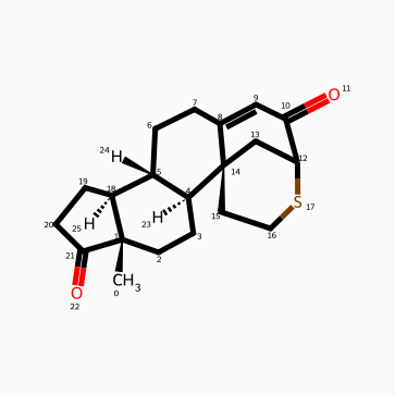 C[C@]12CC[C@H]3[C@@H](CCC4=CC(=O)C5C[C@@]43CCS5)[C@@H]1CCC2=O